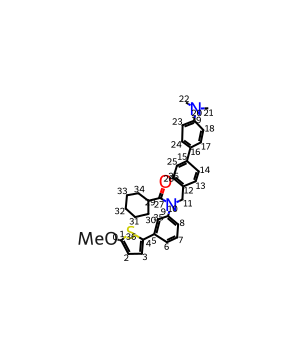 COc1ccc(-c2cccc(N(Cc3ccc(-c4ccc(N(C)C)cc4)cc3)C(=O)C3CCCCC3)c2)s1